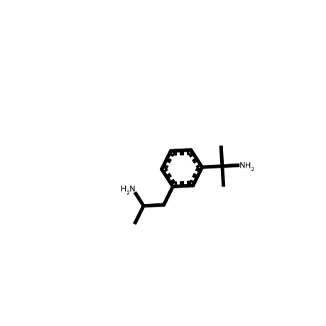 CC(N)Cc1cccc(C(C)(C)N)c1